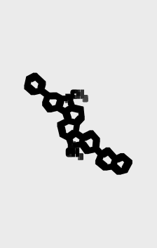 Cn1c2cc(-c3ccccc3)ccc2c2c3ccc4c(c3ccc21)c1ccc(-c2ccc3ccccc3c2)cc1n4C